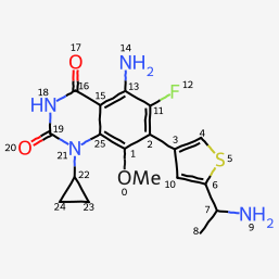 COc1c(-c2csc(C(C)N)c2)c(F)c(N)c2c(=O)[nH]c(=O)n(C3CC3)c12